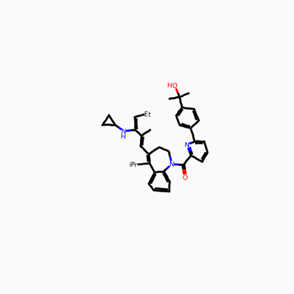 CC/C=C(NC1CC1)\C(C)=C\C1=C(C(C)C)c2ccccc2N(C(=O)c2cccc(-c3ccc(C(C)(C)O)cc3)n2)CC1